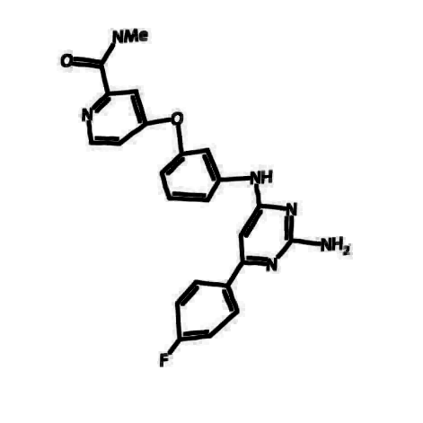 CNC(=O)c1cc(Oc2cccc(Nc3cc(-c4ccc(F)cc4)nc(N)n3)c2)ccn1